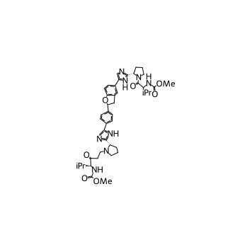 COC(=O)N[C@H](C(=O)CCN1CCC[C@H]1c1ncc(-c2ccc(C3Cc4cc(-c5cnc([C@@H]6CCCN6C(=O)[C@@H](NC(=O)OC)C(C)C)[nH]5)ccc4O3)cc2)[nH]1)C(C)C